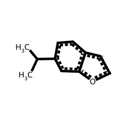 CC(C)c1ccc2[c]coc2c1